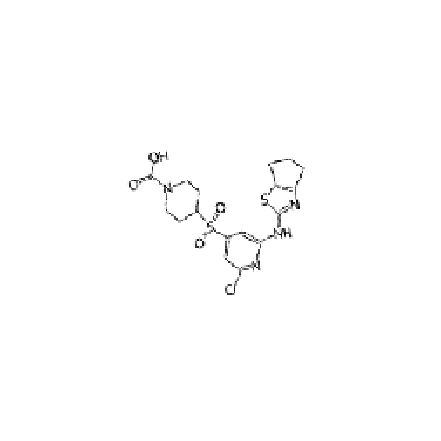 O=C(O)N1CCC(S(=O)(=O)c2cc(Cl)nc(Nc3nc4c(s3)CCC4)c2)CC1